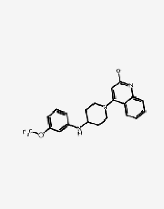 [O]c1cc(N2CCC(Nc3cccc(OC(F)(F)F)c3)CC2)c2ccccc2n1